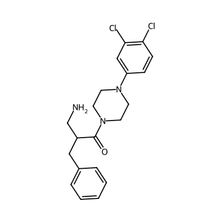 NCC(Cc1ccccc1)C(=O)N1CCN(c2ccc(Cl)c(Cl)c2)CC1